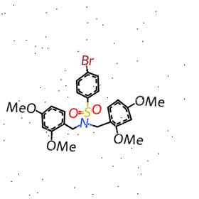 COc1ccc(CN(Cc2ccc(OC)cc2OC)S(=O)(=O)c2ccc(Br)cc2)c(OC)c1